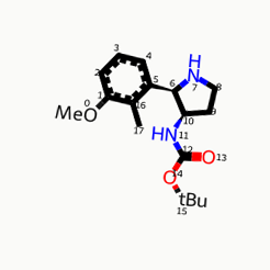 COc1cccc([C@H]2NCC[C@H]2NC(=O)OC(C)(C)C)c1C